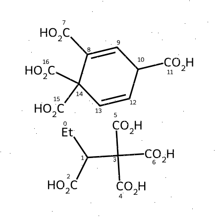 CCC(C(=O)O)C(C(=O)O)(C(=O)O)C(=O)O.O=C(O)C1=CC(C(=O)O)C=CC1(C(=O)O)C(=O)O